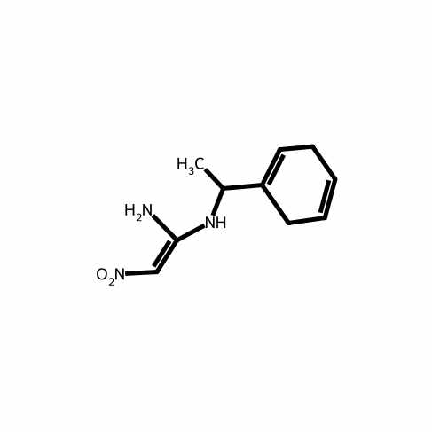 CC(NC(N)=C[N+](=O)[O-])C1=CCC=CC1